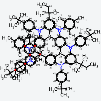 CCC(C)(C)c1cc2c3c(c1)N(c1ccc(C(C)(C)C)cc1)c1cc4c(cc1B3c1cc(C(C)(C)C)ccc1N2c1ccc(C(C)(C)C)cc1)B1c2cc3c(cc2N(c2ccc(C(C)(C)C)cc2)c2cc(C(C)(C)CC)cc(c21)N4c1c(C)cc(C)cc1C)N(c1c(C)cc(C)cc1C)c1cc(C(C)(C)CC)cc2c1B3c1cc(C(C)(C)C)ccc1N2c1ccc(C(C)(C)C)cc1